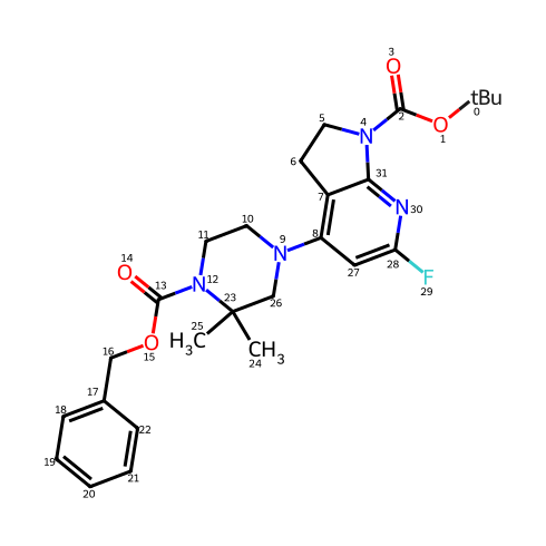 CC(C)(C)OC(=O)N1CCc2c(N3CCN(C(=O)OCc4ccccc4)C(C)(C)C3)cc(F)nc21